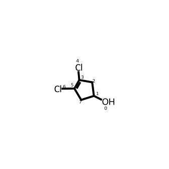 OC1CC(Cl)=C(Cl)C1